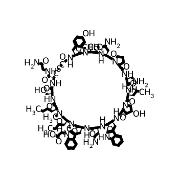 CCCC[C@H]1C(=O)N(C)[C@@H](CCCC)C(=O)N[C@@H](CO)C(=O)N[C@H](C(=O)NCC(N)=O)CSCC(=O)N[C@@H](Cc2ccc(O)cc2)C(=O)N(C)[C@@H](C)C(=O)N[C@@H](CC(N)=O)C(=O)N2CCCC2C(=O)N[C@@H](CN)C(=O)N[C@@H](CC(C)C)C(=O)N2C[C@H](O)C[C@H]2C(=O)N[C@@H](Cc2c[nH]c3ccccc23)C(=O)N[C@@H](CCN)C(=O)N[C@@H](Cc2cn(CC(=O)O)c3ccccc23)C(=O)N1C